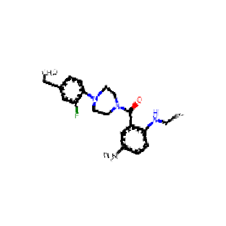 CC(C)CNc1ccc([N+](=O)[O-])cc1C(=O)N1CCN(c2ccc(CC=O)cc2F)CC1